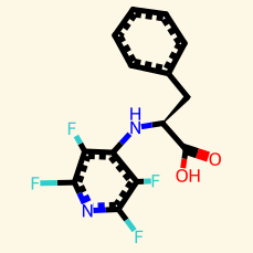 O=C(O)[C@H](Cc1ccccc1)Nc1c(F)c(F)nc(F)c1F